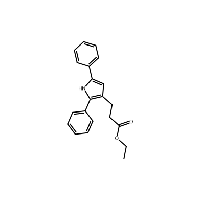 CCOC(=O)CCc1cc(-c2ccccc2)[nH]c1-c1ccccc1